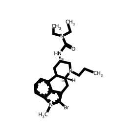 CCCN1C[C@@H](NC(=O)N(CC)CC)CC2c3cccc4c3c(c(Br)n4C)C[C@H]21